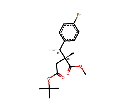 COC(=O)[C@](C)(CC(=O)OC(C)(C)C)[C@H](C)c1ccc(Br)cc1